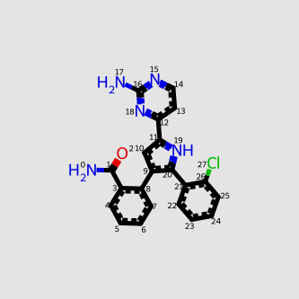 NC(=O)c1ccccc1-c1cc(-c2ccnc(N)n2)[nH]c1-c1ccccc1Cl